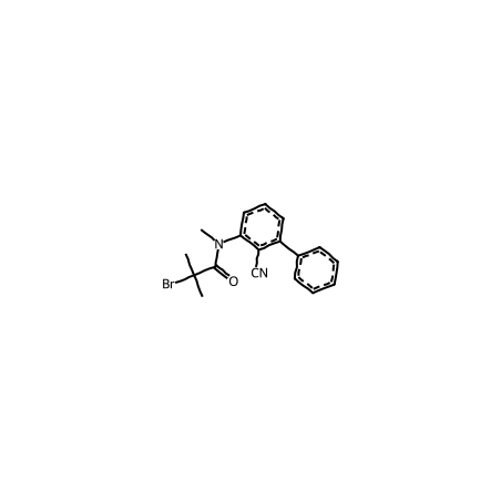 CN(C(=O)C(C)(C)Br)c1cccc(-c2ccccc2)c1C#N